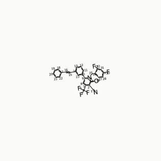 N#Cc1c(C(F)(F)F)cc(-c2cccc(C#Cc3ccccc3)c2)n(Cc2ccc(F)cc2F)c1=O